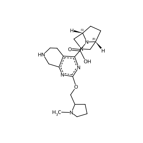 CN1CCCC1COc1nc2c(c(N3C[C@H]4CC[C@@H](C3)N4C(=O)O)n1)CCNC2